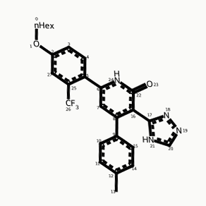 CCCCCCOc1ccc(-c2cc(-c3ccc(C)cc3)c(-c3nnc[nH]3)c(=O)[nH]2)c(C(F)(F)F)c1